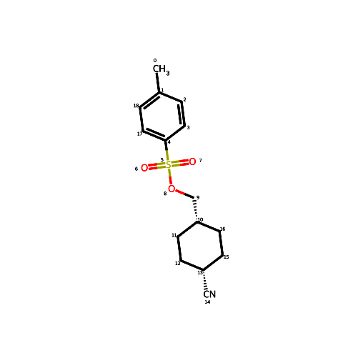 Cc1ccc(S(=O)(=O)OC[C@H]2CC[C@@H](C#N)CC2)cc1